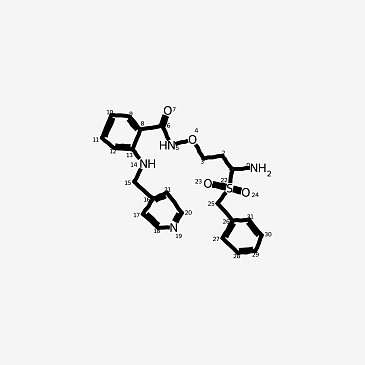 NC(CCONC(=O)c1ccccc1NCc1ccncc1)S(=O)(=O)Cc1ccccc1